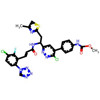 COC(=O)Nc1ccc(-c2cc(C(Cc3nc(C)cs3)NC(=O)C=Cc3c(-n4cnnn4)ccc(Cl)c3F)nnc2Cl)cc1